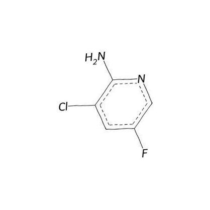 Nc1ncc(F)cc1Cl